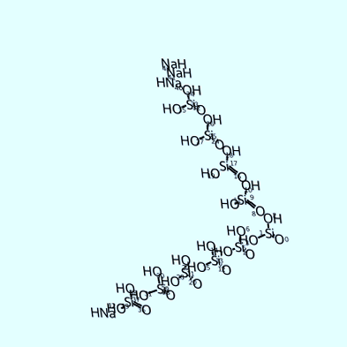 O=[Si](O)O.O=[Si](O)O.O=[Si](O)O.O=[Si](O)O.O=[Si](O)O.O=[Si](O)O.O=[Si](O)O.O=[Si](O)O.O=[Si](O)O.O=[Si](O)O.[NaH].[NaH].[NaH].[NaH]